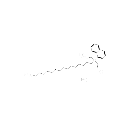 CCCCCCCCCCCCCCCC[N+](CCC)(CCC)c1cccc2ccccc12.[OH-]